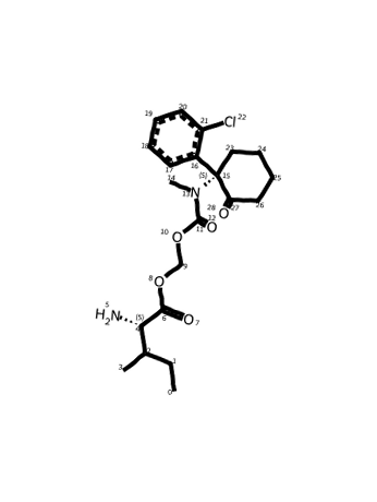 CCC(C)[C@H](N)C(=O)OCOC(=O)N(C)[C@]1(c2ccccc2Cl)CCCCC1=O